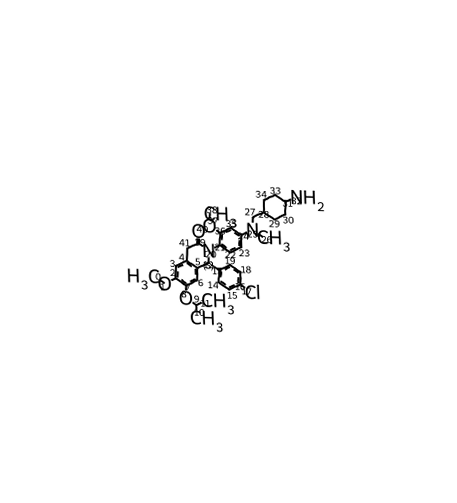 COc1cc2c(cc1OC(C)C)[C@H](c1ccc(Cl)cc1)N(c1ccc(N(C)CC3CCC(N)CC3)cc1OC)C(=O)C2